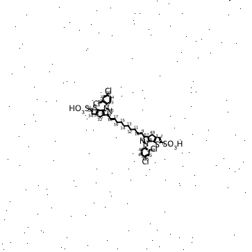 O=S(=O)(O)c1cc2c(s1)-c1c(c(/C=C/CCCCCC/C=C/c3nn(-c4ccc(Cl)cc4Cl)c4c3Cc3cc(S(=O)(=O)O)sc3-4)nn1-c1ccc(Cl)cc1Cl)C2